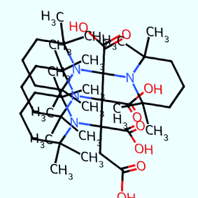 CC1(C)CCCC(C)(C)N1C(CC(=O)O)(C(=O)O)C(C(=O)O)(N1C(C)(C)CCCC1(C)C)C(C(=O)O)(N1C(C)(C)CCCC1(C)C)N1C(C)(C)CCCC1(C)C